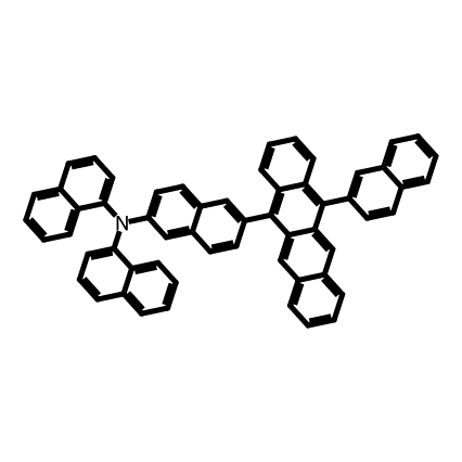 c1ccc2cc(-c3c4ccccc4c(-c4ccc5cc(N(c6cccc7ccccc67)c6cccc7ccccc67)ccc5c4)c4cc5ccccc5cc34)ccc2c1